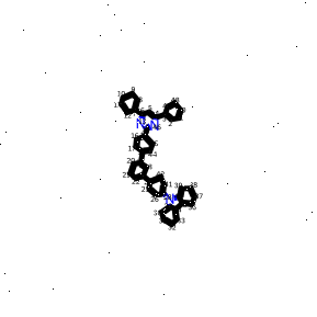 c1ccc(-c2cc(-c3ccccc3)nc(-c3ccc(-c4cccc(-c5ccc(-n6c7ccccc7c7ccccc76)cc5)c4)cc3)n2)cc1